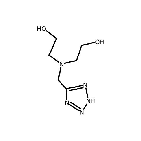 OCCN(CCO)Cc1nn[nH]n1